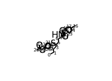 CCCCC(CCCNS(=O)(=O)c1ccc(C)cc1)Sc1ccc(OC(C)=O)cc1